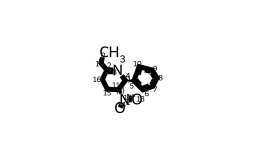 CCC1=N[C@@H](c2ccccc2)[C@@H]([N+](=O)[O-])CC1